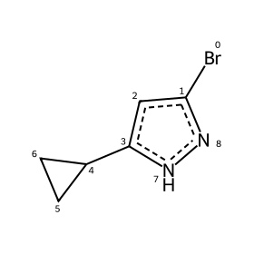 Brc1cc(C2CC2)[nH]n1